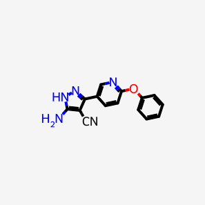 N#Cc1c(-c2ccc(Oc3ccccc3)nc2)n[nH]c1N